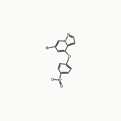 O=[N+]([O-])c1ccc(Oc2cc(Br)cn3nccc23)cc1